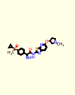 C=S(=O)(c1ccc(C(=N)C(=O)Nc2nc3ccc(O[C@H]4CCN(C)C4)nc3s2)cc1)C1CC1